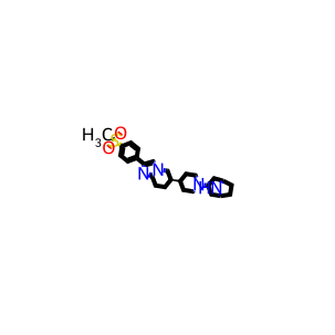 CS(=O)(=O)c1ccc(-c2cn3c(n2)CC[C@H](C2CCN(C4CC5CCC(C4)N5)CC2)C3)cc1